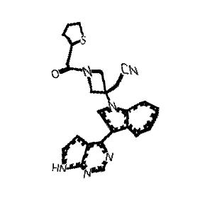 N#CCC1(n2cc(-c3ncnc4[nH]ccc34)c3ccccc32)CN(C(=O)C2CCCS2)C1